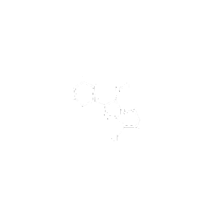 O=Nc1c(-c2ccccc2)nc2c(Cl)cccn12